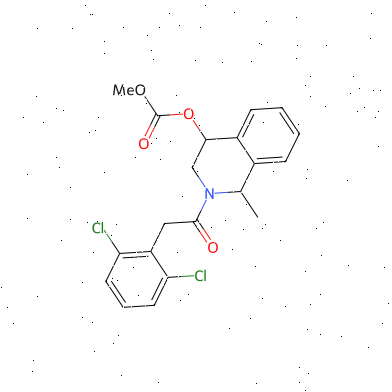 COC(=O)OC1CN(C(=O)Cc2c(Cl)cccc2Cl)C(C)c2ccccc21